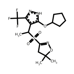 CC(c1c(C(F)(F)F)n[nH]c1OC1CCCC1)S(=O)(=O)C1=NOC(C)(C)C1